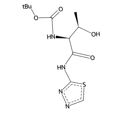 C[C@@H](O)[C@H](NC(=O)OC(C)(C)C)C(=O)Nc1nncs1